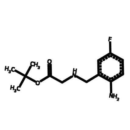 CC(C)(C)OC(=O)CNCc1cc(F)ccc1N